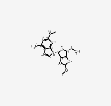 COC1OC2C(O1)[C@@H](CO)O[C@H]2n1cnc2c(N)nc(SC)nc21